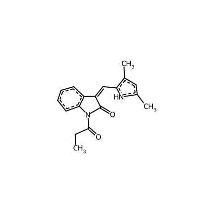 CCC(=O)N1C(=O)/C(=C\c2[nH]c(C)cc2C)c2ccccc21